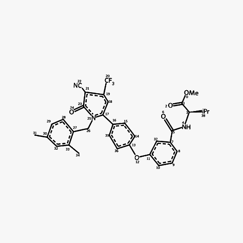 COC(=O)[C@H](NC(=O)c1cccc(Oc2ccc(-c3cc(C(F)(F)F)c(C#N)c(=O)n3Cc3ccc(C)cc3C)cc2)c1)C(C)C